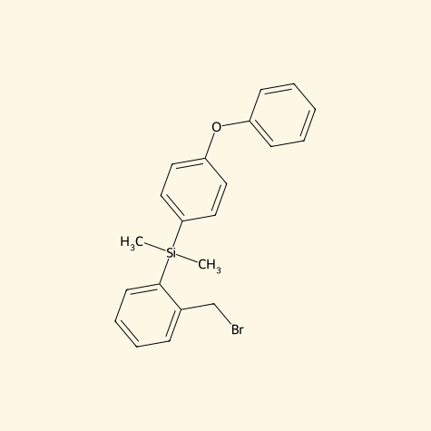 C[Si](C)(c1ccc(Oc2ccccc2)cc1)c1ccccc1CBr